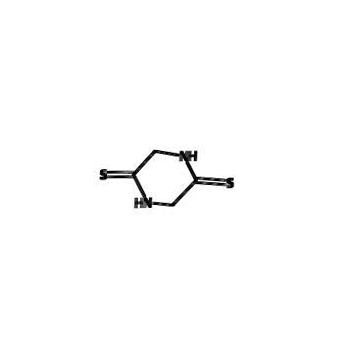 S=C1CNC(=S)CN1